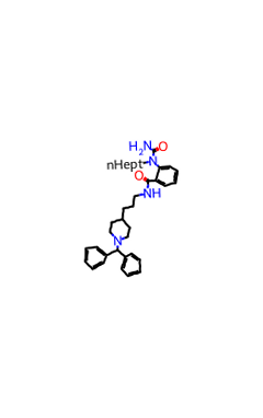 CCCCCCCN(C(N)=O)c1ccccc1C(=O)NCCCC1CCN(C(c2ccccc2)c2ccccc2)CC1